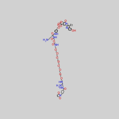 CCc1c2c(nc3ccc(O)cc13)-c1cc3c(c(=O)n1C2)COC(=O)[C@H]3OC(=O)OCc1ccc(NC(=O)[C@@H](CCCCN)NC(=O)COCC(=O)NCCOCCOCCOCCOCCOCCOCCOCCOCCN/C=C(\N)CNC(=O)C2CCC(CN3C(=O)C=CC3=O)CC2)cc1